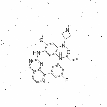 C=CC(=O)Nc1cc(Nc2ncc3ccnc(-c4cncc(F)c4)c3n2)c(OC)cc1N(C)C1CN(C)C1